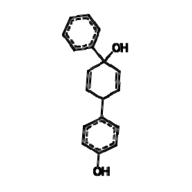 Oc1ccc(C2C=CC(O)(c3ccccc3)C=C2)cc1